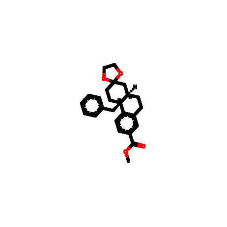 COC(=O)c1ccc2c(c1)CC[C@@H]1CC3(CC[C@@]21Cc1ccccc1)OCCO3